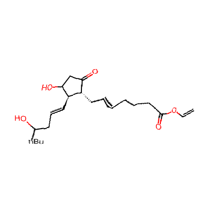 C=COC(=O)CCCC=CC[C@H]1C(=O)CC(O)[C@@H]1C=CCC(O)CCCC